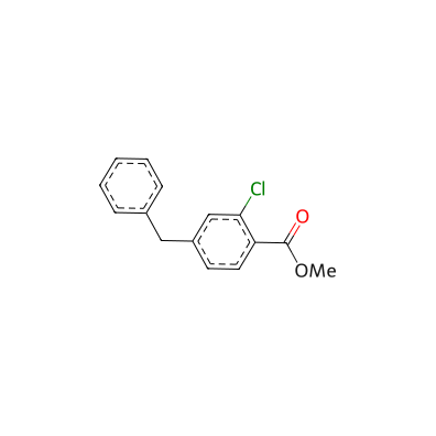 COC(=O)c1ccc(Cc2ccccc2)cc1Cl